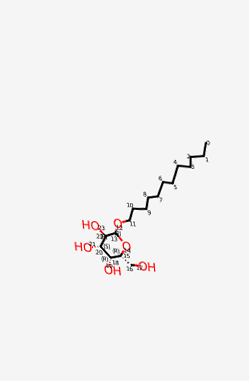 CCCCCCCCCCCCO[C@@H]1O[C@H](CO)[C@H](O)[C@H](O)[C@H]1O